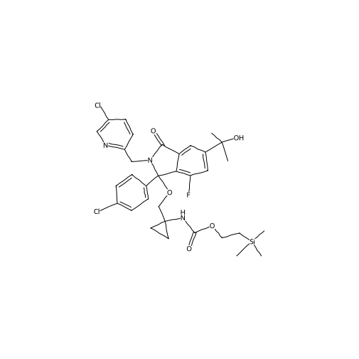 CC(C)(O)c1cc(F)c2c(c1)C(=O)N(Cc1ccc(Cl)cn1)C2(OCC1(NC(=O)OCC[Si](C)(C)C)CC1)c1ccc(Cl)cc1